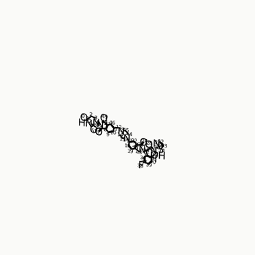 O=C1CCN(N2C(=O)c3ccc(CN4CCN(c5ccc6c(c5)C(=O)N(C(C(=O)Nc5nccs5)c5cc(F)ccc5O)C6)CC4)cc3C2=O)C(=O)N1